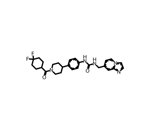 O=C(NCc1ccn2ccnc2c1)Nc1ccc(C2CCN(C(=O)C3CCC(F)(F)CC3)CC2)cc1